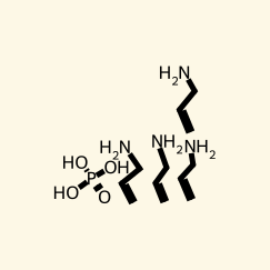 C=CCN.C=CCN.C=CCN.C=CCN.O=P(O)(O)O